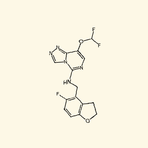 Fc1ccc2c(c1CNc1ncc(OC(F)F)c3nncn13)CCO2